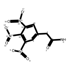 [NH]C(=O)Cc1cc([N+](=O)[O-])c([N+](=O)[O-])c([N+](=O)[O-])c1